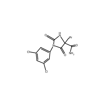 CC(C)C1(C(N)=O)NC(=O)N(c2cc(Cl)cc(Cl)c2)C1=O